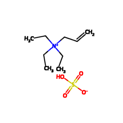 C=CC[N+](CC)(CC)CC.O=S(=O)([O-])O